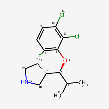 CC(C)[C@H](Oc1c(F)ccc(Cl)c1Cl)[C@H]1CCNC1